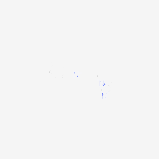 C(=NCCCn1ccnc1)c1ccccc1